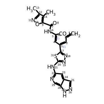 C=C/C=C(\C=C(\NC(=O)c1onc(C)c1C)C(=O)O)c1nnc(Nc2cc3cn[nH]c3cn2)s1